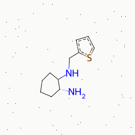 N[C@@H]1CCCCC1NCc1cccs1